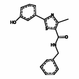 Cc1nc(-c2cccc(O)c2)sc1C(=O)NCc1ccccc1